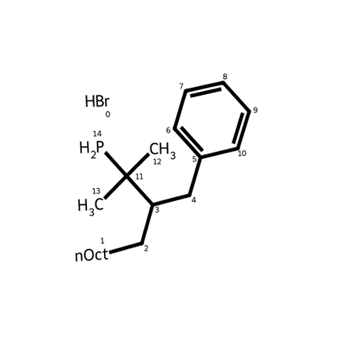 Br.CCCCCCCCCC(Cc1ccccc1)C(C)(C)P